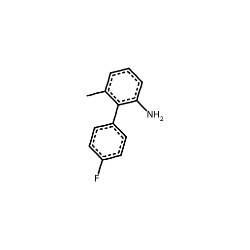 Cc1cccc(N)c1-c1ccc(F)cc1